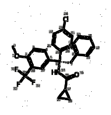 COc1ccc([C@](Cc2ccccc2)(NC(=O)C2CC2)c2ccc(Cl)cn2)cc1C(F)(F)F